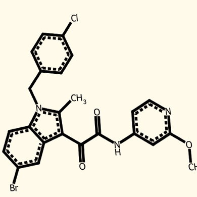 COc1cc(NC(=O)C(=O)c2c(C)n(Cc3ccc(Cl)cc3)c3ccc(Br)cc23)ccn1